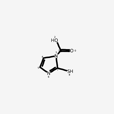 O=C(O)n1ccnc1S